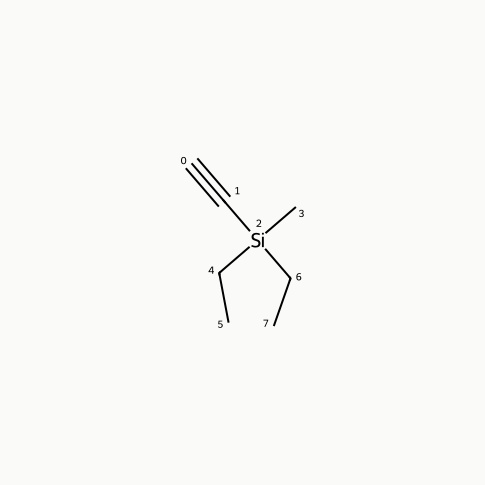 C#C[Si](C)(CC)CC